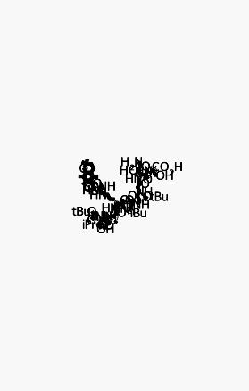 CC[C@H](C)[C@H](NC(=O)[C@@H](CCCNC(=N)NS(=O)(=O)c1c(C)c(C)c2c(c1C)CCC(C)(C)O2)NC(=O)[C@H](CC(C)C)NC(=O)[C@@H](NC(=O)OC(C)(C)C)[C@H](O)C(C)C)C(=O)N[C@@H](COC(C)(C)C)C(=O)NCC(=O)N[C@H](C(=O)N[C@@H](CO)C(=O)O)[C@H](O)C(N)=O